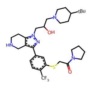 CC(C)(C)C1CCN(CC(O)Cn2nc(-c3ccc(C(F)(F)F)c(SCC(=O)N4CCCC4)c3)c3c2CCNC3)CC1